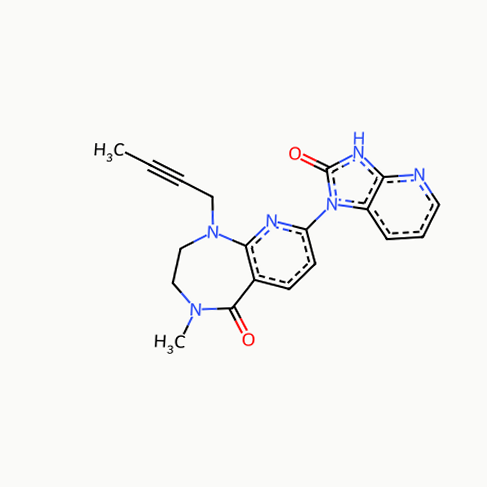 CC#CCN1CCN(C)C(=O)c2ccc(-n3c(=O)[nH]c4ncccc43)nc21